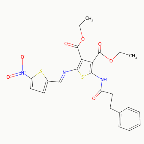 CCOC(=O)c1c(N=Cc2ccc([N+](=O)[O-])s2)sc(NC(=O)CCc2ccccc2)c1C(=O)OCC